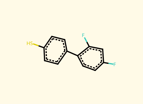 Fc1ccc(-c2ccc(S)cc2)c(F)c1